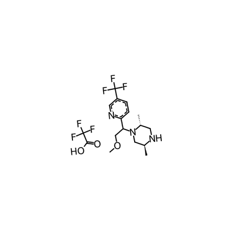 COCC(c1ccc(C(F)(F)F)cn1)N1C[C@H](C)NC[C@H]1C.O=C(O)C(F)(F)F